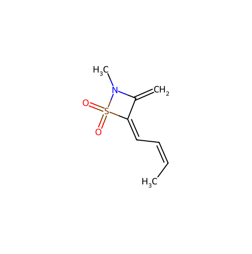 C=C1/C(=C\C=C/C)S(=O)(=O)N1C